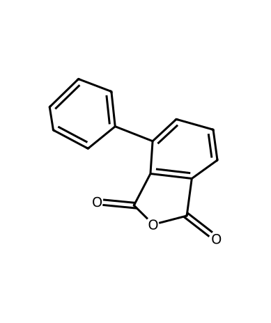 O=C1OC(=O)c2c1cccc2-c1ccccc1